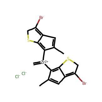 [CH2]=[Zr+2]([C]1=C2SCC(Br)=C2C=C1C)[C]1=C2SCC(Br)=C2C=C1C.[Cl-].[Cl-]